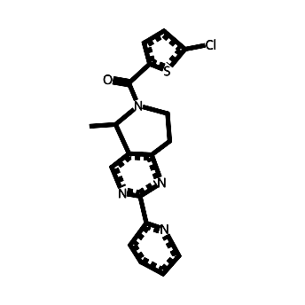 CC1c2cnc(-c3ccccn3)nc2CCN1C(=O)c1ccc(Cl)s1